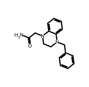 NC(=O)CN1CCN(Cc2ccccc2)c2ccccc21